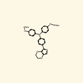 CCCCCCOc1ccc(N(c2ccc(OCCCCCC)cc2)c2ccc(-c3scc4c3OCCO4)cc2)cc1